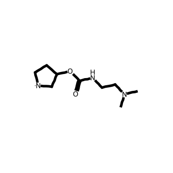 CN(C)CCNC(=O)OC1CC[N]C1